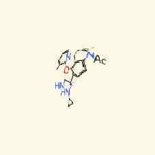 CC(=O)N1c2ccc(/C(C=N)=C/NC3CC3)c(Oc3ncccc3C)c2CC[C@@H]1C